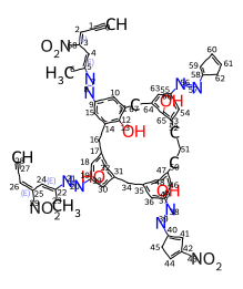 C#C/C=C(\C=C(/C)N=Nc1cc2c(O)c(c1)Cc1cc(N=N/C(C)=C/C(=C\C#C)[N+](=O)[O-])cc(c1O)Cc1cc(N=NC3=CC([N+](=O)[O-])=CC3)cc(c1O)CCCc1cc(N=NC3=CC=CC3)cc(c1O)C2)[N+](=O)[O-]